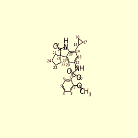 COc1ccccc1S(=O)(=O)Nc1cc(C2CC2)c2c(c1)C1(CCCC1)C(=O)N2